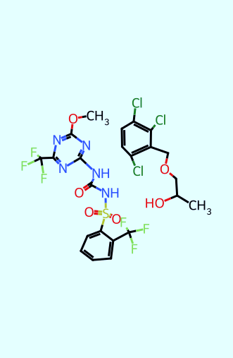 CC(O)COCc1c(Cl)ccc(Cl)c1Cl.COc1nc(NC(=O)NS(=O)(=O)c2ccccc2C(F)(F)F)nc(C(F)(F)F)n1